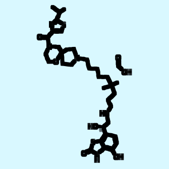 CC(C)c1nc(C(=O)N2CCOC3(CCN(CCCCCC(C)(C)CCCNC[C@H](O)c4ccc(O)c5[nH]c(=O)sc45)CC3)C2)cs1.O=CO